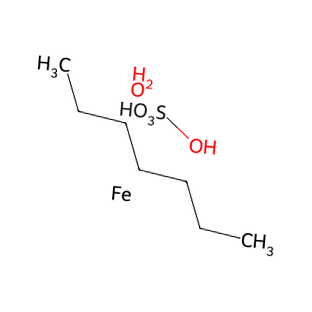 CCCCCCC.O.O=S(=O)(O)O.[Fe]